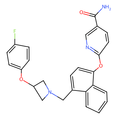 NC(=O)c1ccc(Oc2ccc(CN3CC(Oc4ccc(F)cc4)C3)c3ccccc23)nc1